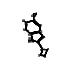 Clc1cc2cc(C3CCC3)[nH]c2cn1